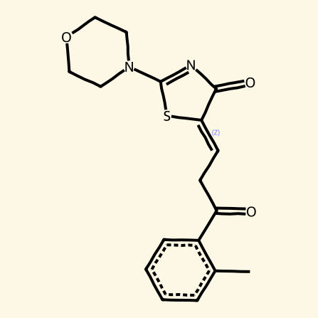 Cc1ccccc1C(=O)C/C=C1\SC(N2CCOCC2)=NC1=O